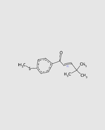 CSc1ccc(C(=O)/C=C/C(C)(C)C)cc1